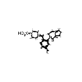 O=C(O)N1CCN(Cc2ccc(Cl)cc2N2CCN3CCCC3C2)CC1